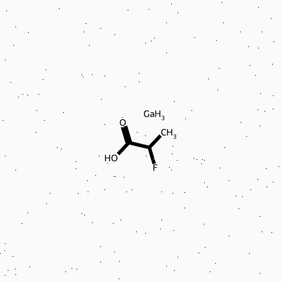 CC(F)C(=O)O.[GaH3]